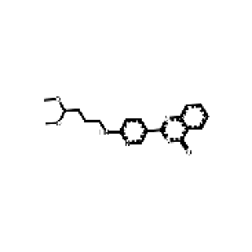 COC(CCCNc1ccc(-c2nc(=O)c3ccccc3s2)cn1)OC